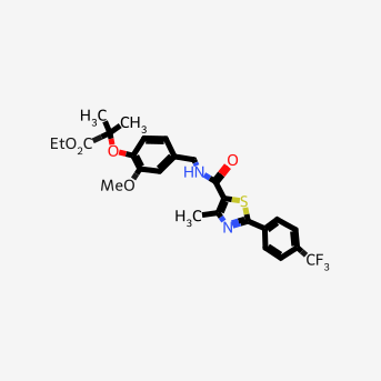 CCOC(=O)C(C)(C)Oc1ccc(CNC(=O)c2sc(-c3ccc(C(F)(F)F)cc3)nc2C)cc1OC